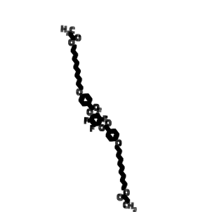 C=CC(=O)OCCCCCCCCCCCOc1ccc(C(=O)Oc2c(F)c(F)c(OC(=O)c3ccc(OCCCCCCCCCCCOC(=O)C=C)cc3)c(F)c2F)cc1